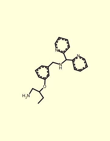 CCC(CN)Oc1cccc(CNC(c2ccccn2)c2ccccn2)c1